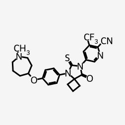 CN1CCCC(Oc2ccc(N3C(=S)N(c4cnc(C#N)c(C(F)(F)F)c4)C(=O)C34CCC4)cc2)CC1